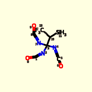 O=C=NC(N=C=O)(N=C=O)C([SiH3])C(F)(F)F